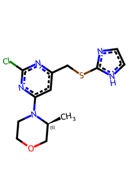 C[C@H]1COCCN1c1cc(CSc2ncc[nH]2)nc(Cl)n1